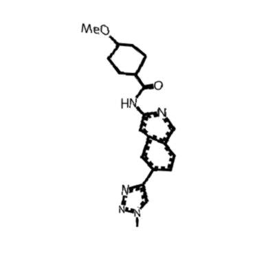 COC1CCC(C(=O)Nc2cc3cc(-c4cn(C)nn4)ccc3cn2)CC1